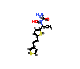 CC(c1ccc(/C=C/c2ccsc2)s1)N(O)C(N)=O